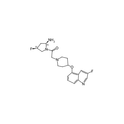 N[C@@H]1C[C@H](F)CN1C(=O)CN1CCC(Oc2cccc3ncc(F)cc23)CC1